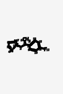 CC(Cn1nccn1)c1ccc(F)cc1